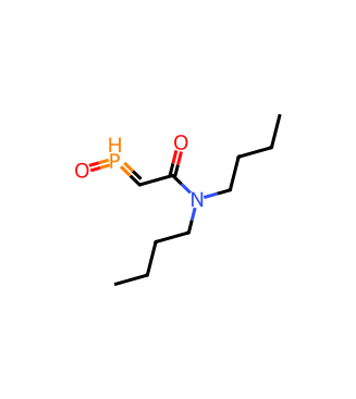 CCCCN(CCCC)C(=O)C=[PH]=O